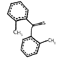 Cc1ccccc1C(=S)c1ccccc1C